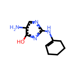 Nc1cnc(NC2=CCCCC2)nc1O